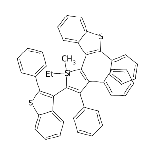 CC[Si]1(C)C(c2c(-c3ccccc3)sc3ccccc23)=C(c2ccccc2)C(c2ccccc2)=C1c1c(-c2ccccc2)sc2ccccc12